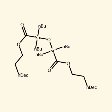 CCCCCCCCCCCCO[C](=O)[Sn]([CH2]CCC)([CH2]CCC)[O][Sn]([CH2]CCC)([CH2]CCC)[C](=O)OCCCCCCCCCCCC